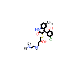 CCN(CC)CCN(C)CCC(O)CSc1c(-c2cc(Cl)ccc2O)c2cc(C(F)(F)F)ccc2[nH]c1=O